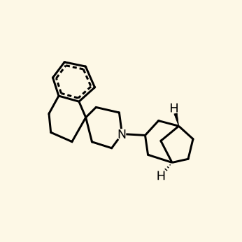 c1ccc2c(c1)CCCC21CCN(C2C[C@@H]3CC[C@@H](C2)C3)CC1